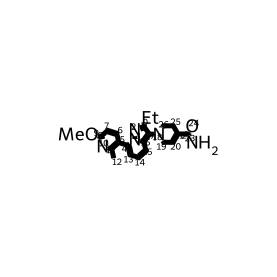 CCc1nn2c(-c3ccc(OC)nc3C)cccc2c1N1CC=C(C(N)=O)CC1